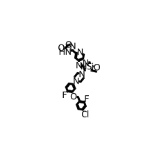 O=c1[nH]c(-c2cc3nc(CN4CCN(c5ccc(F)c(OCc6ccc(Cl)cc6F)c5)CC4)n(C[Si@@H]4CCO4)c3cn2)no1